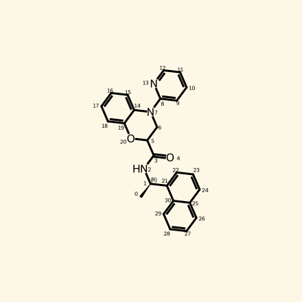 C[C@@H](NC(=O)C1CN(c2ccccn2)c2ccccc2O1)c1cccc2ccccc12